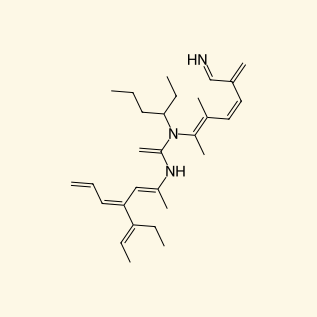 C=C/C=C(\C=C(/C)NC(=C)N(/C(C)=C(C)/C=C\C(=C)C=N)C(CC)CCC)C(=C/C)/CC